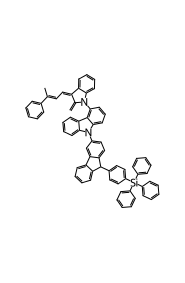 C=c1/c(=C\C=C(/C)c2ccccc2)c2ccccc2n1-c1cccc2c1c1ccccc1n2-c1ccc2c(c1)-c1ccccc1C2c1ccc([Si](c2ccccc2)(c2ccccc2)c2ccccc2)cc1